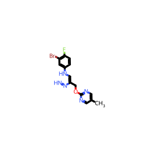 Cc1cnc(OC/C(=C/Nc2ccc(F)c(Br)c2)N=N)nc1